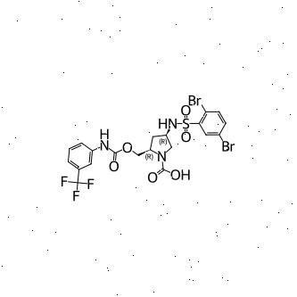 O=C(Nc1cccc(C(F)(F)F)c1)OC[C@H]1C[C@@H](NS(=O)(=O)c2cc(Br)ccc2Br)CN1C(=O)O